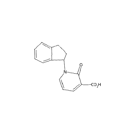 O=C(O)c1cccn(C2CCc3ccccc32)c1=O